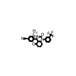 Cc1cc(C#N)ccc1C1NC(=O)N(c2cccc(C(F)(F)F)c2)C2=C1C(=O)CCC2